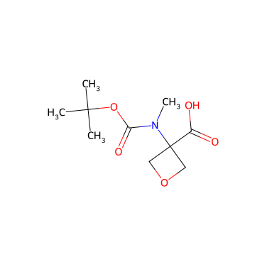 CN(C(=O)OC(C)(C)C)C1(C(=O)O)COC1